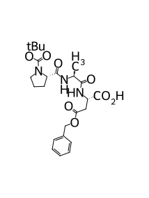 C[C@H](NC(=O)[C@@H]1CCCN1C(=O)OC(C)(C)C)C(=O)N[C@@H](CC(=O)OCc1ccccc1)C(=O)O